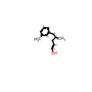 Cc1cccc(CC(C)CC=CO)c1